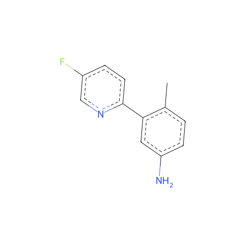 Cc1ccc(N)cc1-c1ccc(F)cn1